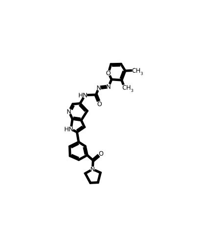 CC1=C(C)C(N=NC(=O)Nc2cnc3[nH]c(-c4cccc(C(=O)N5CCCC5)c4)cc3c2)OC=C1